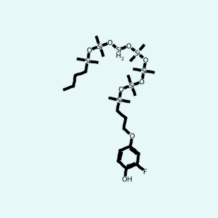 CCCC[Si](C)(C)O[Si](C)(C)O[SiH2]O[Si](C)(C)O[Si](C)(C)O[Si](C)(C)O[Si](C)(C)CCCOc1ccc(O)c(F)c1